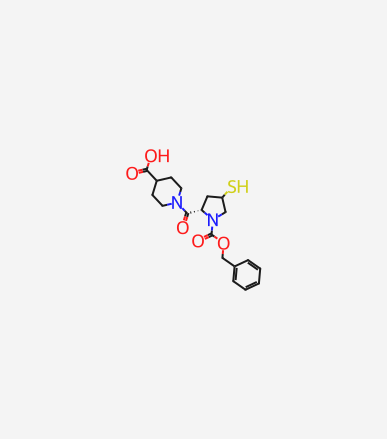 O=C(O)C1CCN(C(=O)[C@@H]2CC(S)CN2C(=O)OCc2ccccc2)CC1